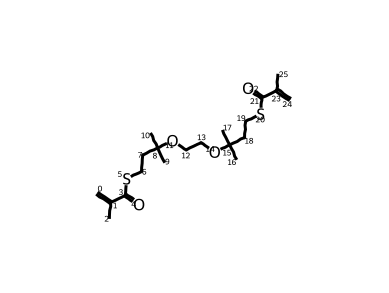 C=C(C)C(=O)SCCC(C)(C)OCCOC(C)(C)CCSC(=O)C(=C)C